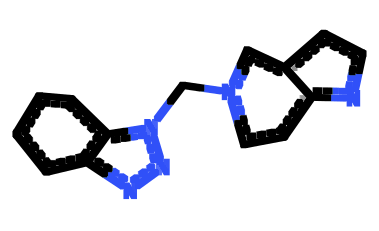 c1ccc2c(c1)nnn2Cn1ccc2nccc-2c1